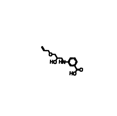 C=CCOCC(O)CNc1cccc(C(=O)O)c1